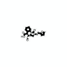 O=C=NC(C(=O)O)c1ccccc1N1CCN(N=Cc2ccco2)C1=O